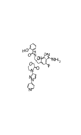 Nc1noc2cc(CC(O)(CNC(=O)c3ccccc3O)[C@H]3OCCN(c4ccn(-c5ccncc5)n4)C3=O)cc(F)c12